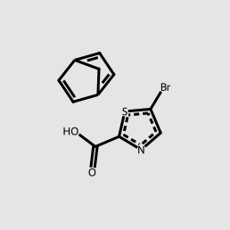 C1=CC2=CC=C1C2.O=C(O)c1ncc(Br)s1